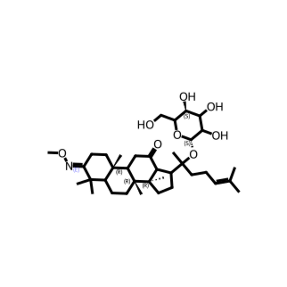 CO/N=C1\CC[C@@]2(C)C(CC[C@]3(C)C2CC(=O)C2C(C(C)(CCC=C(C)C)O[C@@H]4OC(CO)[C@@H](O)C(O)C4O)CC[C@]23C)C1(C)C